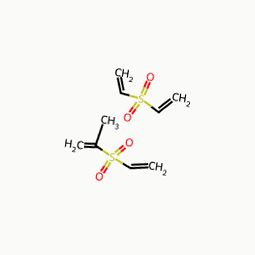 C=CS(=O)(=O)C(=C)C.C=CS(=O)(=O)C=C